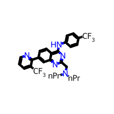 CCCN(CCC)Cc1nc(Nc2ccc(C(F)(F)F)cc2)c2ccc(-c3ncccc3C(F)(F)F)cc2n1